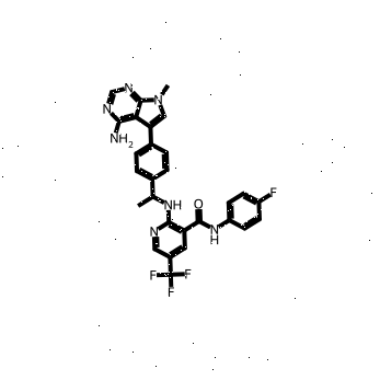 CC(Nc1ncc(C(F)(F)F)cc1C(=O)Nc1ccc(F)cc1)c1ccc(-c2cn(C)c3ncnc(N)c23)cc1